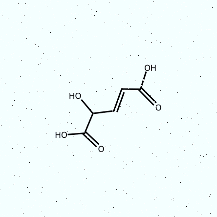 O=C(O)C=CC(O)C(=O)O